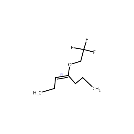 CC/C=C(\CCC)OCC(F)(F)F